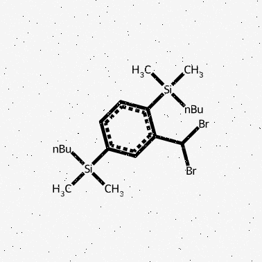 CCCC[Si](C)(C)c1ccc([Si](C)(C)CCCC)c(C(Br)Br)c1